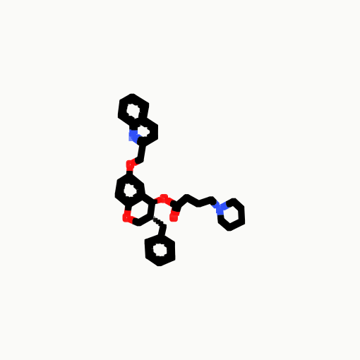 O=C(CCCN1CCCCC1)O[C@@H]1c2cc(OCc3ccc4ccccc4n3)ccc2OC[C@H]1Cc1ccccc1